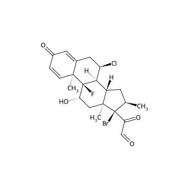 C[C@@H]1C[C@H]2[C@@H]3[C@H](Cl)CC4=CC(=O)C=C[C@]4(C)[C@@]3(F)[C@@H](O)C[C@]2(C)[C@@]1(Br)C(=O)C=O